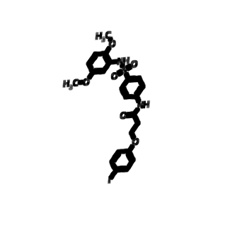 COc1ccc(OC)c(NS(=O)(=O)c2ccc(NC(=O)CCOc3ccc(I)cc3)cc2)c1